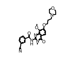 COc1c(OCCCN2CCOCC2)ccc2c(=O)n(C)c(NC(=O)c3cccc(C#N)c3)nc12